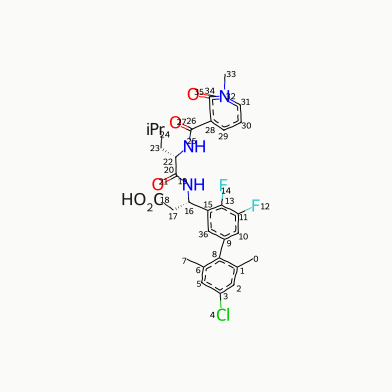 Cc1cc(Cl)cc(C)c1-c1cc(F)c(F)c([C@H](CC(=O)O)NC(=O)[C@H](CC(C)C)NC(=O)c2cccn(C)c2=O)c1